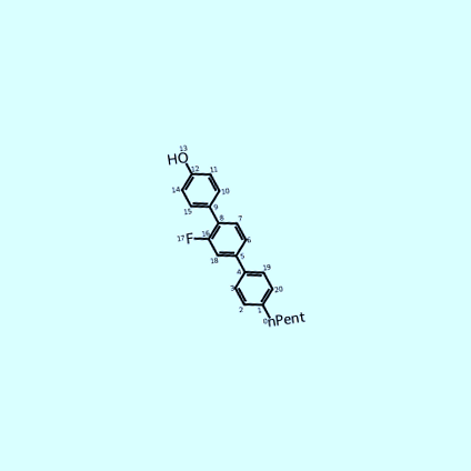 CCCCCc1ccc(-c2ccc(-c3ccc(O)cc3)c(F)c2)cc1